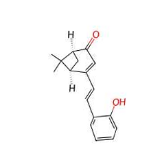 CC1(C)[C@@H]2C[C@H]1C(C=Cc1ccccc1O)=CC2=O